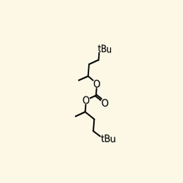 CC(CCC(C)(C)C)OC(=O)OC(C)CCC(C)(C)C